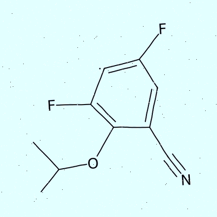 CC(C)Oc1c(F)[c]c(F)cc1C#N